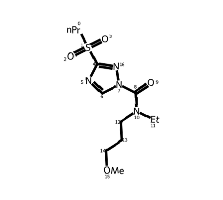 CCCS(=O)(=O)c1ncn(C(=O)N(CC)CCCOC)n1